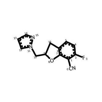 N#Cc1c(F)ccc2c1OC(Cn1cccn1)C2